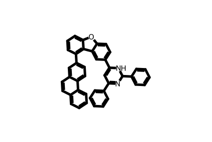 C1=C(c2ccc3oc4cccc(-c5ccc6c(ccc7ccccc76)c5)c4c3c2)NC(c2ccccc2)N=C1c1ccccc1